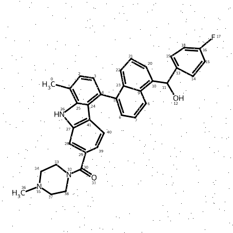 Cc1ccc(-c2cccc3c(C(O)c4ccc(F)cc4)cccc23)c2c1[nH]c1cc(C(=O)N3CCN(C)CC3)ccc12